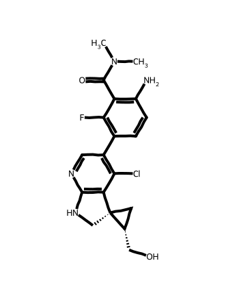 CN(C)C(=O)c1c(N)ccc(-c2cnc3c(c2Cl)[C@@]2(CN3)C[C@@H]2CO)c1F